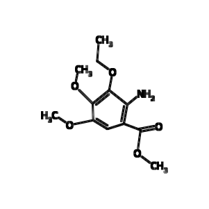 CCOc1c(N)c(C(=O)OC)cc(OC)c1OC